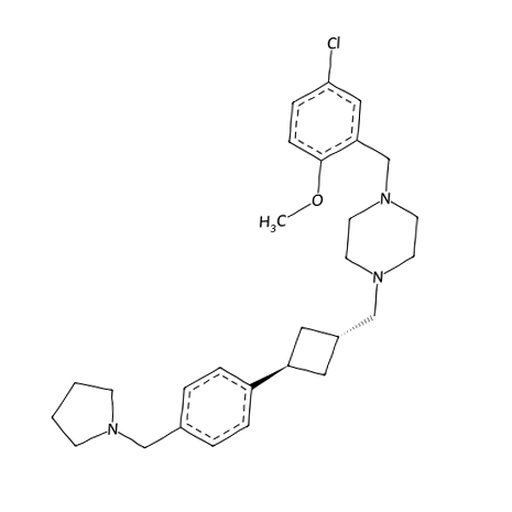 COc1ccc(Cl)cc1CN1CCN(C[C@H]2C[C@H](c3ccc(CN4CCCC4)cc3)C2)CC1